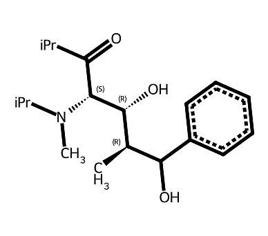 CC(C)C(=O)[C@H]([C@H](O)[C@H](C)C(O)c1ccccc1)N(C)C(C)C